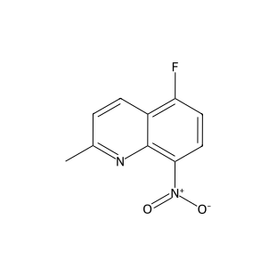 Cc1ccc2c(F)ccc([N+](=O)[O-])c2n1